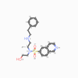 C[C@H](CNCCc1ccccc1)N(CCO)S(=O)(=O)c1ccc2cnccc2c1